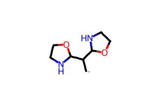 [CH2]C(C1NCCO1)C1NCCO1